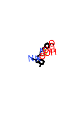 COc1ccc(CN2CC(Cn3c(C#N)cc4c(C)cccc43)OCS2(O)O)cc1